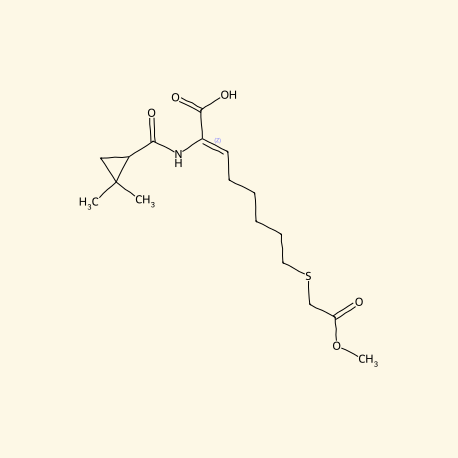 COC(=O)CSCCCCC/C=C(\NC(=O)C1CC1(C)C)C(=O)O